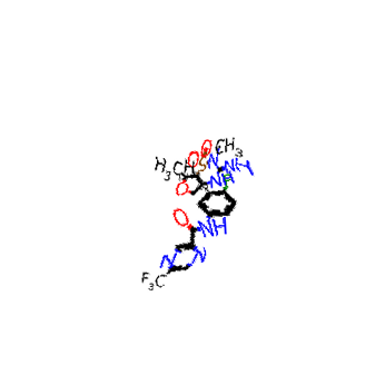 C[C@@H]1OC[C@]2(c3cc(NC(=O)c4cnc(C(F)(F)F)cn4)ccc3F)NC(=N)N(C)S(=O)(=O)[C@H]12